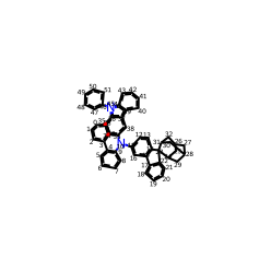 c1ccc(-c2ccccc2N(c2ccc3c(c2)-c2ccccc2C32C3CC4CC(C3)CC2C4)c2ccc3c(c2)c2ccccc2n3-c2ccccc2)cc1